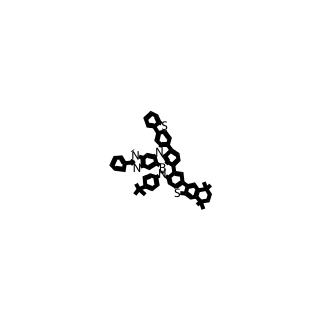 Cn1c(-c2ccccc2)nc2cc3c(cc21)-n1c2cc4c(cc2c2ccc5c(c21)B3N(c1ccc(C(C)(C)C)cc1)c1cc2sc3cc6c(cc3c2cc1-5)C(C)(C)CCC6(C)C)sc1ccccc14